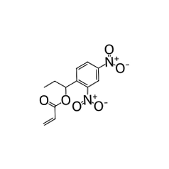 C=CC(=O)OC(CC)c1ccc([N+](=O)[O-])cc1[N+](=O)[O-]